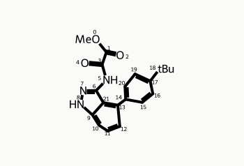 COC(=O)C(=O)Nc1n[nH]c2cccc(-c3ccc(C(C)(C)C)cc3)c12